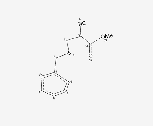 [C-]#[N+]C(CSCc1ccccc1)C(=O)OC